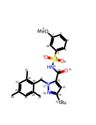 COc1cccc(S(=O)(=O)NC(=O)c2cc(C(C)(C)C)nn2Cc2c(C)cc(C)cc2C)c1